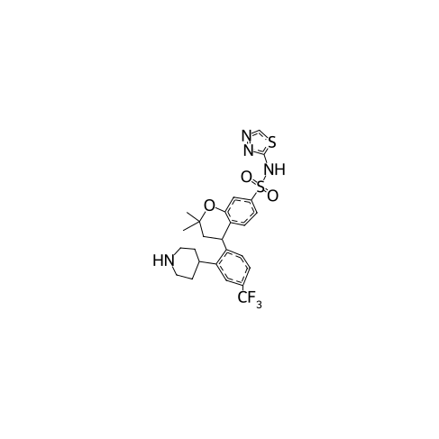 CC1(C)CC(c2ccc(C(F)(F)F)cc2C2CCNCC2)c2ccc(S(=O)(=O)Nc3nncs3)cc2O1